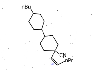 CCC/C=C\C1(C#N)CCC(C2CCC(CCCC)CC2)CC1